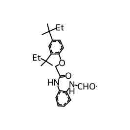 CCC(C)(C)c1ccc(OCC(=O)Nc2ccccc2N[C]=O)c(C(C)(C)CC)c1